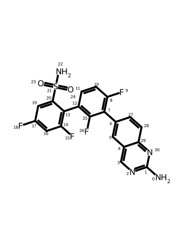 Nc1ncc2cc(-c3c(F)ccc(-c4c(F)cc(F)cc4S(N)(=O)=O)c3F)ccc2n1